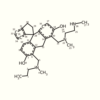 CCCN(C)Cc1c(O)ccc2c1Cc1c(ccc(O)c1CN(C)CCNC)C21CCc2ccccc21